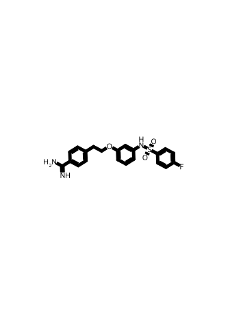 N=C(N)c1ccc(CCOc2cccc(NS(=O)(=O)c3ccc(F)cc3)c2)cc1